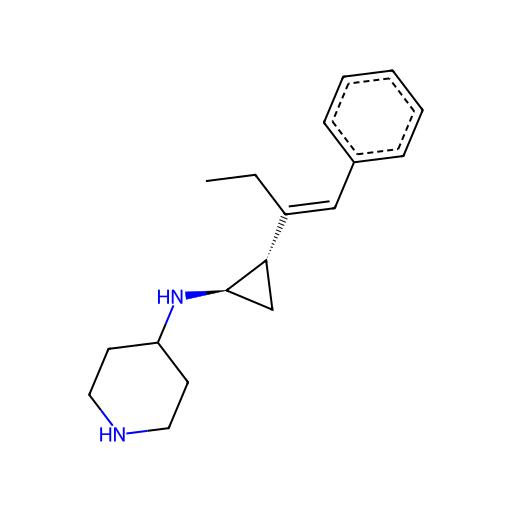 CC/C(=C\c1ccccc1)[C@@H]1C[C@H]1NC1CCNCC1